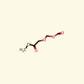 [CH2-][CH+]C(=O)COCOC=O